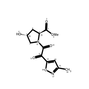 COC(=O)[C@@H]1C[C@@H](O)CN1C(=O)C(=O)c1cc(C)no1